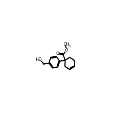 COC(=O)C1(c2ccc(CO)cc2)CC=CCC1